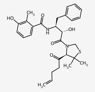 C=CCCC(=O)[C@H]1N(C(=O)[C@@H](O)[C@H](Cc2ccccc2)NC(=O)c2cccc(O)c2C)CSC1(C)C